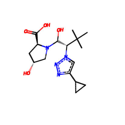 CC(C)(C)[C@@H](C(O)N1C[C@H](O)C[C@H]1C(=O)O)n1cc(C2CC2)nn1